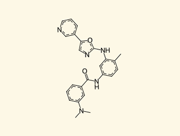 Cc1ccc(NC(=O)c2cccc(N(C)C)c2)cc1Nc1ncc(-c2cccnc2)o1